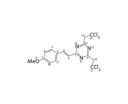 COc1ccc(C=Cc2nc(CC(Cl)(Cl)Cl)nc(CC(Cl)(Cl)Cl)n2)cc1